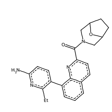 CCc1nc(N)ccc1-c1cccc2ccc(C(=O)N3CC4CCC(C3)O4)nc12